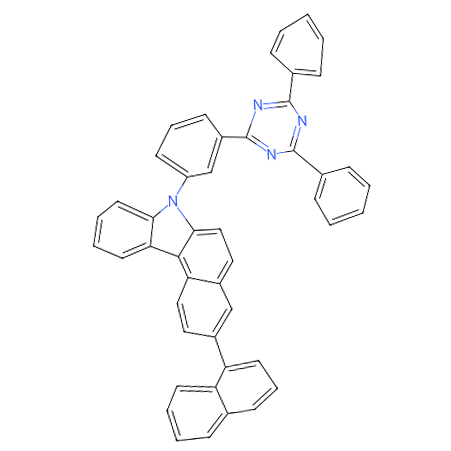 c1ccc(-c2nc(-c3ccccc3)nc(-c3cccc(-n4c5ccccc5c5c6ccc(-c7cccc8ccccc78)cc6ccc54)c3)n2)cc1